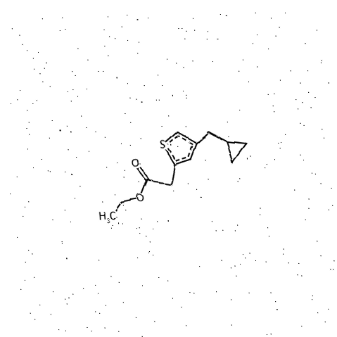 CCOC(=O)Cc1cc(CC2CC2)cs1